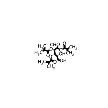 C=C(C)C(=O)O[C@H]([C@H](OC(=O)C(=C)C)[C@H](C=O)OC(=O)C(=C)C)[C@H](O)CO